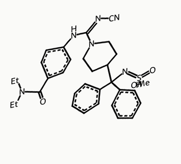 CCN(CC)C(=O)c1ccc(N/C(=N/C#N)N2CCC(C(N=[SH](=O)OC)(c3ccccc3)c3ccccc3)CC2)cc1